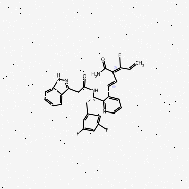 C=C/C(F)=C(\C=C\c1cccnc1[C@H](Cc1cc(F)cc(F)c1)NC(=O)Cc1n[nH]c2ccccc12)C(N)=O